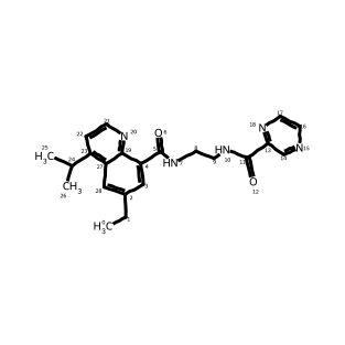 CCc1cc(C(=O)NCCNC(=O)c2cnccn2)c2nccc(C(C)C)c2c1